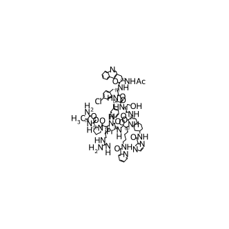 CC(=O)N[C@@H](Cc1cnc2ccccc2c1)C(=O)N[C@@H](Cc1ccc(Cl)cc1)C(=O)N[C@@H](Cc1cccnc1)C(=O)N[C@@H](CO)C(=O)N[C@@H](CC1CCC(NC(=O)c2cnccn2)CC1)C(=O)N[C@@H](CCCCNC(=O)c1ccccn1)C(=O)N[C@H](C(=O)N[C@@H](CCCNC(=N)N)C(=O)N1CCC[C@H]1C(=O)N[C@@H](C)C(N)=O)C(C)C